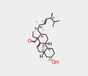 CC(C)[C@H](C)/C=C/[C@@H](C)[C@H]1CC[C@@]2(C=O)C3=CC[C@H]4C[C@@H](O)CC[C@]4(C)[C@H]3CC[C@]12C